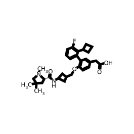 CN1CC(C)(C)C[C@H]1C(=O)NC1CC(COc2ccc(CC(=O)O)cc2-c2cccc(F)c2C2CCC2)C1